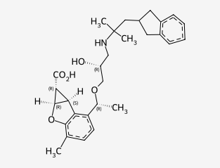 Cc1ccc([C@@H](C)OC[C@H](O)CNC(C)(C)CC2Cc3ccccc3C2)c2c1O[C@H]1[C@H](C(=O)O)[C@@H]21